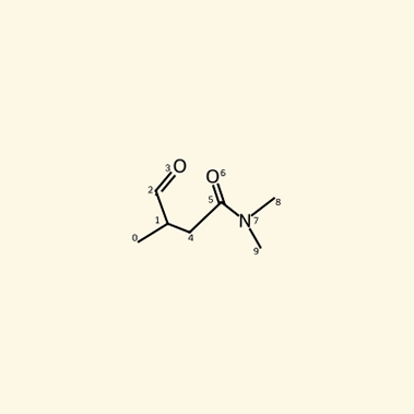 CC([C]=O)CC(=O)N(C)C